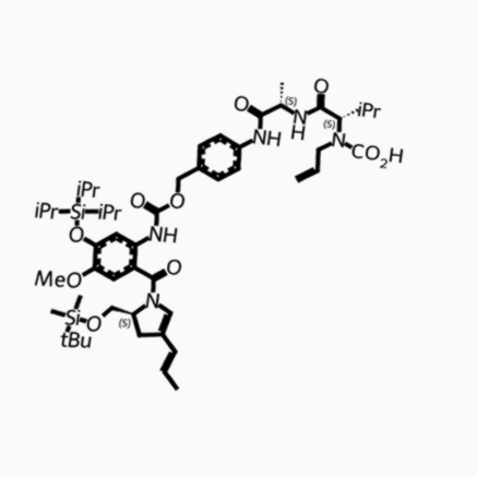 C=CCN(C(=O)O)[C@H](C(=O)N[C@@H](C)C(=O)Nc1ccc(COC(=O)Nc2cc(O[Si](C(C)C)(C(C)C)C(C)C)c(OC)cc2C(=O)N2C=C(C=CC)C[C@H]2CO[Si](C)(C)C(C)(C)C)cc1)C(C)C